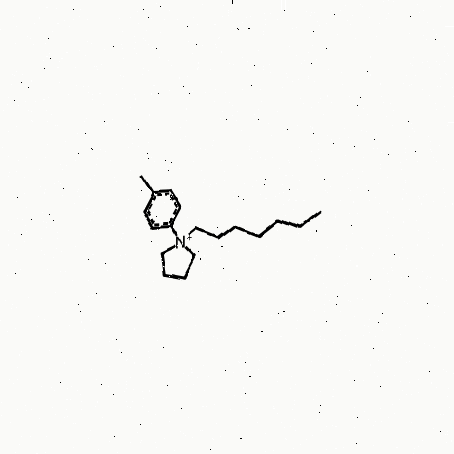 CCCCCCC[N+]1(c2ccc(C)cc2)CCCC1